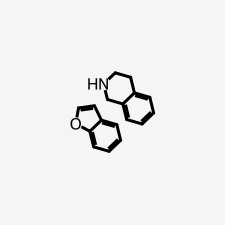 c1ccc2c(c1)CCNC2.c1ccc2occc2c1